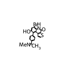 CN[C@H](C)c1ccc(-c2c(O)cc(Br)c3[nH]c(=O)c4sccc4c23)cc1